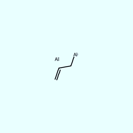 C=C[CH2][Al].[Al]